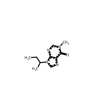 CCC(C)n1cnc2c(=O)n(C)cnc21